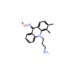 CO/N=c1\c2ccccc2n(CCCN)c2c(C)c(C)ccc12